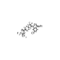 CCCN(CC)c1ccc(Cl)cc1CN1CC2(CCN(C(=O)OC(C(F)(F)F)C(F)(F)F)CC2)CC1(C)C